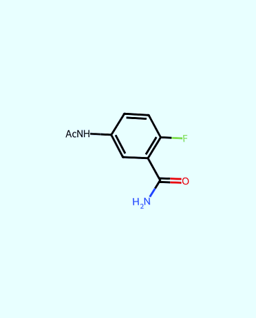 CC(=O)Nc1ccc(F)c(C(N)=O)c1